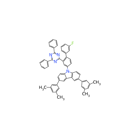 Cc1cc(C)cc(-c2ccc3c(c2)c2cc(-c4cc(C)cc(C)c4)ccc2n3-c2ccc(-c3cccc(F)c3)c(-c3nc(-c4ccccc4)nc(-c4ccccc4)n3)c2)c1